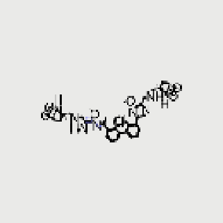 C=N/C(CNC[C@H]1CCS(=O)(=O)N1)=C(\N=C(/C)c1cccc(-c2cccc(-c3cnc(CNC[C@H]4CCS(=O)(=O)N4)c(OC)n3)c2Cl)c1Cl)OC